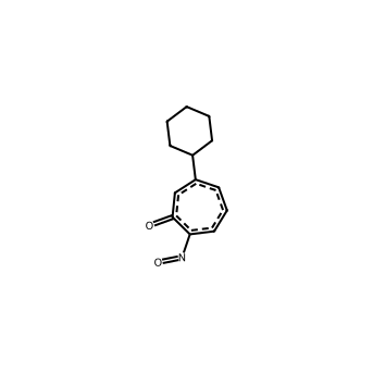 O=Nc1cccc(C2CCCCC2)cc1=O